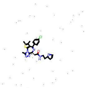 Cc1sc2c(c1C)C(c1ccc(Cl)cc1)=N[C@@H](CC(=O)NCCC1=NC=CC1)c1nnc(C)n1-2